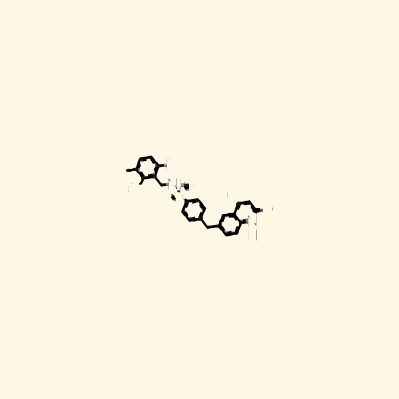 Cc1ccc(F)c(CNS(=O)(=O)c2ccc(Cc3ccc4[nH]c(=O)cc(C(F)(F)F)c4c3)cc2)c1Cl